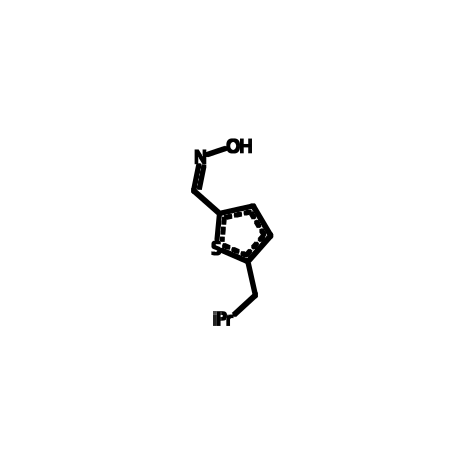 CC(C)Cc1ccc(/C=N\O)s1